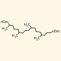 CCCCCCCCCCCCCC(C)CCCC(C)CCCC(C)CCCC(C)CCCCCCCCCC